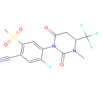 CN1C(=O)N(c2cc(S(C)(=O)=O)c(C#N)cc2F)C(=O)CC1C(F)(F)F